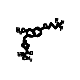 CNC(=O)C1CN(CC2=Cc3ccc(OCCCC(F)(F)F)cc3C[C@@H]2C)C1